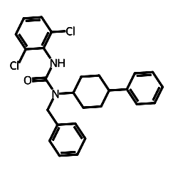 O=C(Nc1c(Cl)cccc1Cl)N(Cc1ccccc1)C1CCC(c2ccccc2)CC1